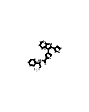 NCC(NC(=O)c1cc(-c2c(-c3ccoc3)[nH]c3ncccc23)cs1)c1ccccc1